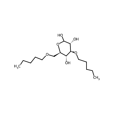 CCCCCOC[C@H]1OC(O)[C@H](O)[C@@H](OCCCCC)[C@@H]1O